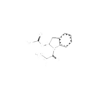 C[C@H](N)C(=O)N1c2ccccc2C[C@@H]1OC(=O)O